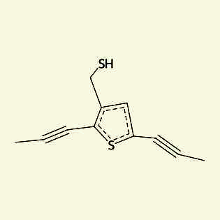 CC#Cc1cc(CS)c(C#CC)s1